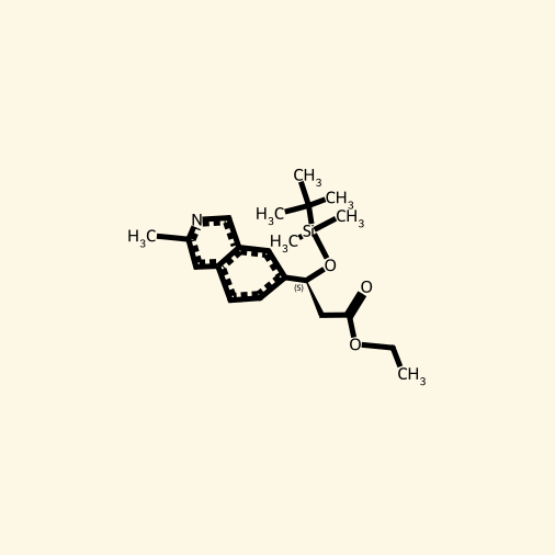 CCOC(=O)C[C@H](O[Si](C)(C)C(C)(C)C)c1ccc2cc(C)ncc2c1